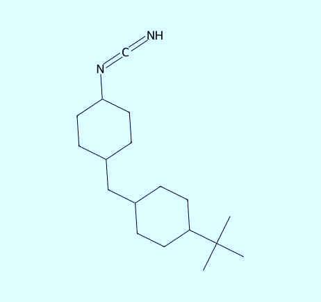 CC(C)(C)C1CCC(CC2CCC(N=C=N)CC2)CC1